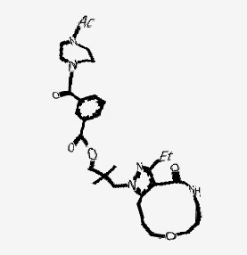 CCc1nn(CC(C)(C)COC(=O)c2cccc(C(=O)N3CCN(C(C)=O)CC3)c2)c2c1C(=O)NCCCOCCC2